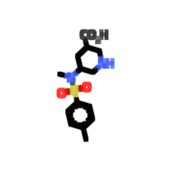 Cc1ccc(S(=O)(=O)N(C)C2CNCC(C(=O)O)C2)cc1